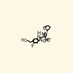 O=[N+]([O-])c1cn(C2CCCCO2)nc1-c1nc2cc(F)c(CCO)cc2[nH]1